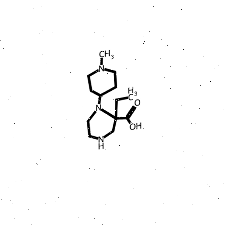 CCC1(C(=O)O)CNCCN1C1CCN(C)CC1